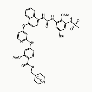 COc1cc(Nc2cc(Oc3ccc(NC(=O)Nc4cc(C(C)(C)C)cc(NS(C)(=O)=O)c4OC)c4ccccc34)ccn2)ccc1C(=O)NCC12CCN(CC1)CC2